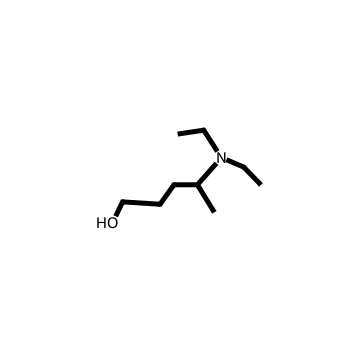 CCN(CC)C(C)CCCO